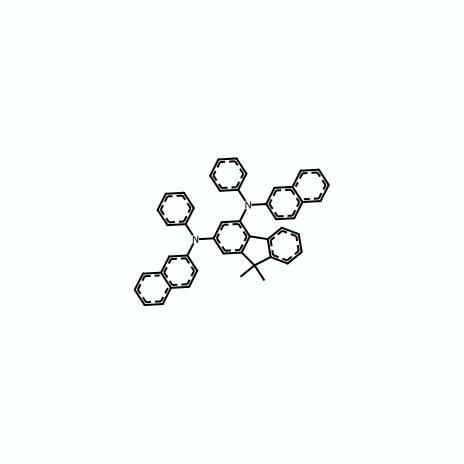 CC1(C)c2ccccc2-c2c(N(c3ccccc3)c3ccc4ccccc4c3)cc(N(c3ccccc3)c3ccc4ccccc4c3)cc21